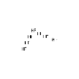 F.F.F.F.F.F.[Rh]